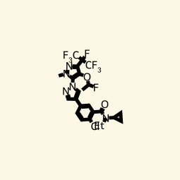 CCN(C(=O)c1cc(-c2cnn(-c3c(OC(C)F)c(C(F)(C(F)(F)F)C(F)(F)F)nn3C)c2)ccc1Cl)C1CC1